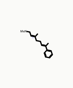 CNC/C=C(\C)CCC=C(C)c1ccccc1